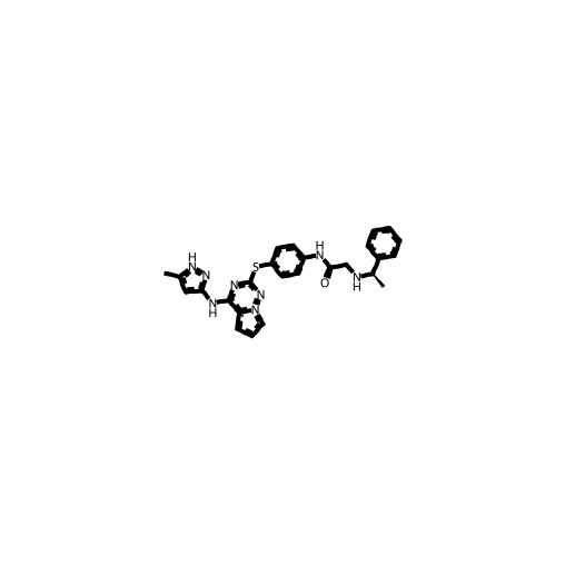 Cc1cc(Nc2nc(Sc3ccc(NC(=O)CN[C@H](C)c4ccccc4)cc3)nn3cccc23)n[nH]1